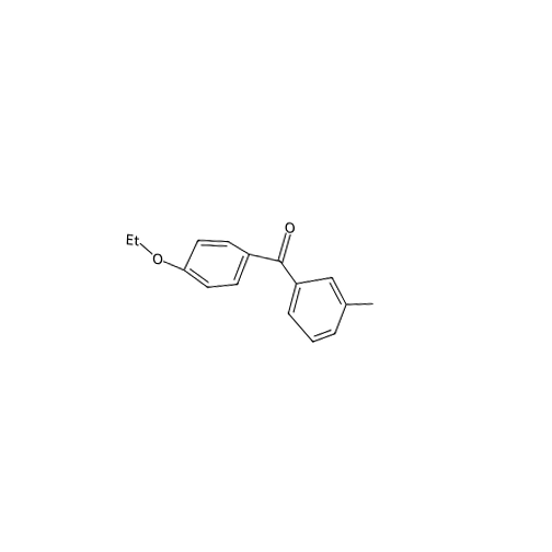 CCOc1ccc(C(=O)c2cccc(C)c2)cc1